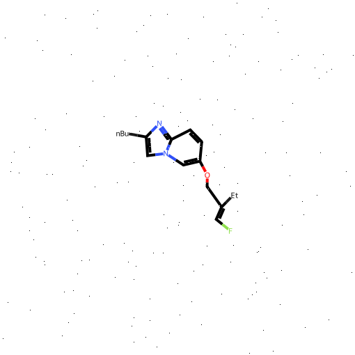 CCCCc1cn2cc(OC/C(=C/F)CC)ccc2n1